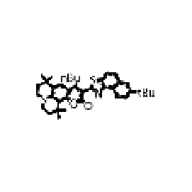 CCCCc1c(-c2nc3c(ccc4cc(C(C)(C)C)ccc43)s2)c(=O)oc2c3c4c(cc12)C(C)(C)CCN4CCC3(C)C